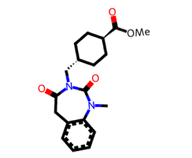 COC(=O)[C@H]1CC[C@H](CN2C(=O)Cc3ccccc3N(C)C2=O)CC1